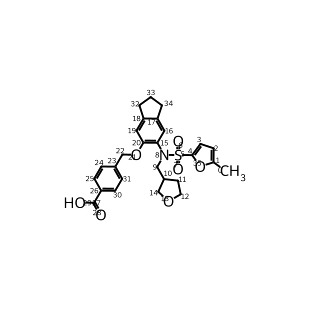 Cc1ccc(S(=O)(=O)N(CC2CCOC2)c2cc3c(cc2OCc2ccc(C(=O)O)cc2)CCC3)o1